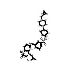 CC(C)CN1c2nc(Nc3cccc(S(=O)(=O)NC4CCC(N5CCN(CC6CC6)CC5)CC4)c3)ccc2N(C)C(=O)[C@H]1C